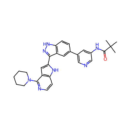 CC(C)(C)C(=O)Nc1cncc(-c2ccc3[nH]nc(-c4cc5c(N6CCCCC6)nccc5[nH]4)c3c2)c1